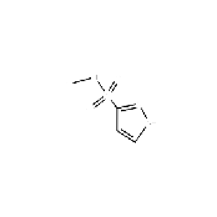 CC(C)(C)NS(=O)(=O)c1cc[nH]n1